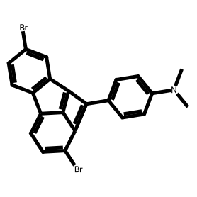 CN(C)c1ccc(C2=c3c(Br)ccc4c3=C2c2cc(Br)ccc2-4)cc1